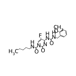 CCCCCNC(=O)n1cc(F)c(NC(=O)NCc2ccccc2OC)nc1=O